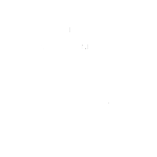 NC(Cc1ccc(OC[18F])cc1)C(=O)O